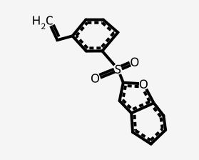 C=Cc1cccc(S(=O)(=O)c2cc3ccccc3o2)c1